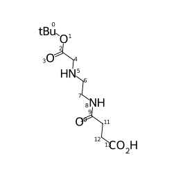 CC(C)(C)OC(=O)CNCCNC(=O)CCC(=O)O